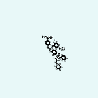 Cl.Cl.N=C(N)c1ccc(Cc2nc3cc(N(CCCN4CCCCC4)S(=O)(=O)c4ccccc4)ccc3n2Cc2ccccc2)cc1